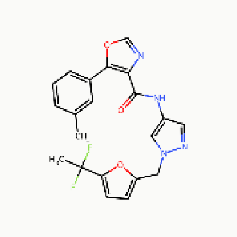 Cc1cccc(-c2ocnc2C(=O)Nc2cnn(Cc3ccc(C(C)(F)F)o3)c2)c1